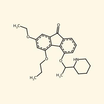 CCCOc1cc(OCC)cc2c1-c1c(OC(C)C3CCCCN3)cccc1C2=O